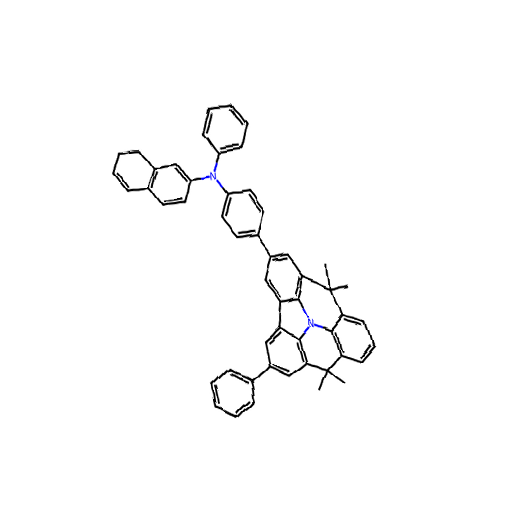 CC1(C)c2cccc3c2-n2c4c1cc(-c1ccccc1)cc4c1cc(-c4ccc(N(c5ccccc5)c5ccc6c(c5)CCC=C6)cc4)cc(c12)C3(C)C